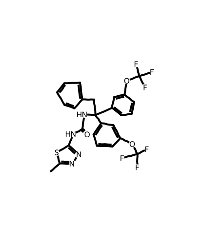 Cc1nnc(NC(=O)NC(Cc2ccccc2)(c2cccc(OC(F)(F)F)c2)c2cccc(OC(F)(F)F)c2)s1